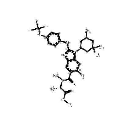 COC(=O)[C@H](C)N(C)C(=O)c1cc2nc(Nc3ccc(OC(F)(F)F)cc3)n([C@H]3C[C@@H](C)CC(C)(C)C3)c2cc1Cl